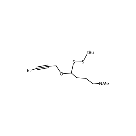 CCC#CCOC(CCCNC)SSC(C)(C)C